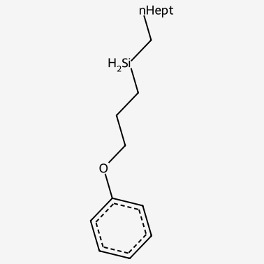 CCCCCCCC[SiH2]CCCOc1ccccc1